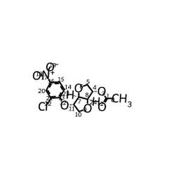 CC(=O)O[C@H]1CO[C@H]2[C@@H]1OC[C@@H]2Oc1ccc([N+](=O)[O-])cc1Cl